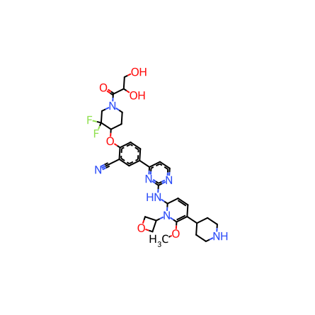 COC1=C(C2CCNCC2)C=CC(Nc2nccc(-c3ccc(OC4CCN(C(=O)C(O)CO)CC4(F)F)c(C#N)c3)n2)N1C1COC1